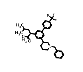 CC(=O)C(CC(C)C)c1cc(-c2ccc(C(F)(F)F)cc2)cc(C2CCCN(Cc3ccccc3)C2)c1